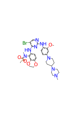 COc1cc(N2CCC(N3CCN(C)CC3)CC2)ccc1Nc1ncc(Br)c(Nc2ccc3c(c2N(C)S(C)(=O)=O)OCCO3)n1